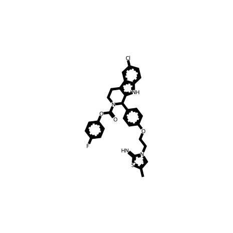 Cc1cn(CCOc2ccc(C3c4[nH]c5ccc(Cl)cc5c4CCN3C(=O)Oc3ccc(F)cc3)cc2)c(=N)s1